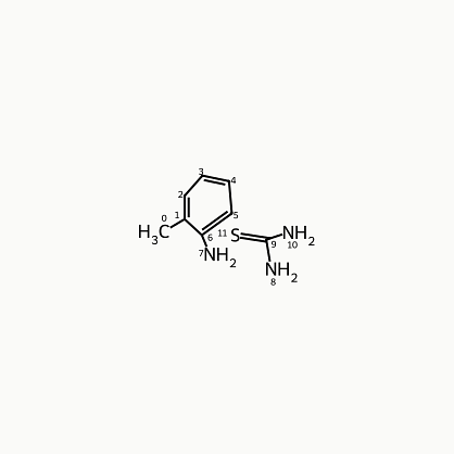 Cc1ccccc1N.NC(N)=S